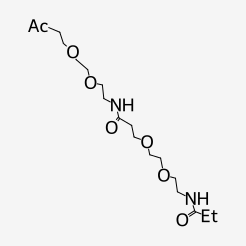 CCC(=O)NCCOCCOCCC(=O)NCCOCCOCCC(C)=O